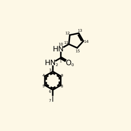 O=C(Nc1ccc(I)cc1)NC1CC=CC1